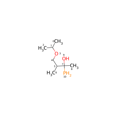 CC(C)OCC(C)C(C)(O)P